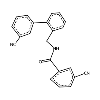 N#Cc1cccc(C(=O)NCc2ccccc2-c2cccc(C#N)c2)c1